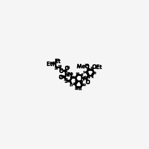 CCOc1ccc(C(=O)N2CCC(C3=NN(C(=O)OCCN(CC)CC)C(=O)SC3C)c3ccccc32)cc1OC